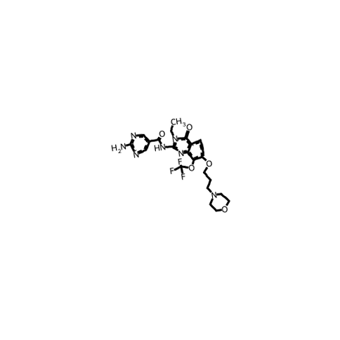 CCn1c(NC(=O)c2cnc(N)nc2)nc2c(OC(F)(F)F)c(OCCCN3CCOCC3)ccc2c1=O